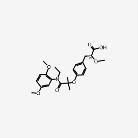 CCN(C(=O)C(C)(C)Oc1ccc(C[C@H](OC)C(=O)O)cc1)c1cc(OC)ccc1OC